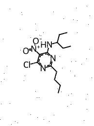 CCCCc1nc(Cl)c([N+](=O)[O-])c(NC(CC)CC)n1